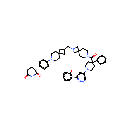 O=C1CC[C@H](c2ccc(N3CCC4(CC3)CC(CN3CC5(CCN(C(=O)C6(c7ccccc7)CCN(c7cnnc(-c8ccccc8O)c7)CC6)CC5)C3)C4)cc2)C(=O)N1